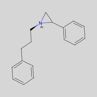 c1ccc(CCC[N@@]2CC2c2ccccc2)cc1